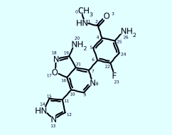 CNC(=O)c1cc(-c2ncc(-c3cn[nH]c3)c3onc(N)c23)c(F)cc1N